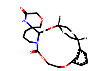 O=C1COCC2(CCCN3C(=O)OCCOc4cccc(c4)[C@H]4CC[C@H](CC4)OCC32)N1